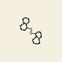 c1ccc2c(SSc3cccc4ccccc34)cccc2c1